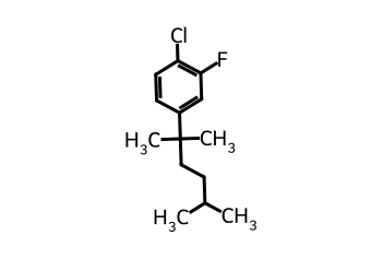 CC(C)CCC(C)(C)c1ccc(Cl)c(F)c1